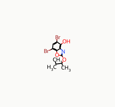 CC(C)C(C)Oc1nc2c(O)c(Br)cc(Br)c2o1